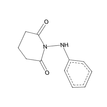 O=C1CCCC(=O)N1Nc1ccccc1